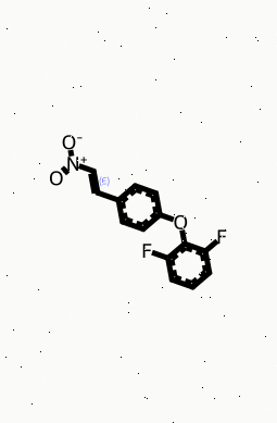 O=[N+]([O-])/C=C/c1ccc(Oc2c(F)cccc2F)cc1